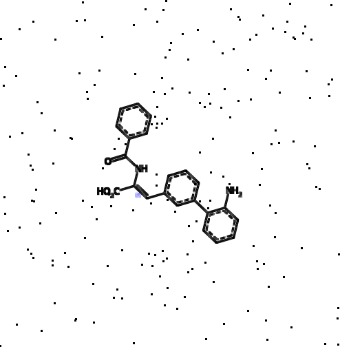 Nc1ccccc1-c1cccc(/C=C(\NC(=O)c2ccccc2)C(=O)O)c1